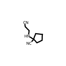 N#CCCNC1(C#N)CCCC1